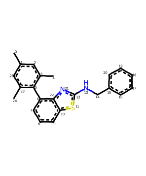 Cc1cc(C)c(-c2cccc3sc(NCc4ccccc4)nc23)c(C)c1